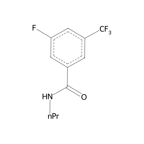 [CH2]CCNC(=O)c1cc(F)cc(C(F)(F)F)c1